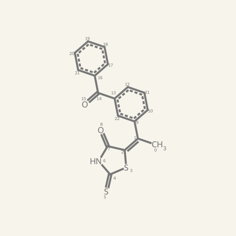 C/C(=C1\SC(=S)NC1=O)c1cccc(C(=O)c2ccccc2)c1